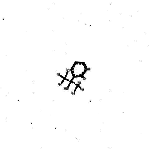 [2H]C([2H])([2H])C(O)(c1ccc[nH]c1=O)C([2H])([2H])[2H]